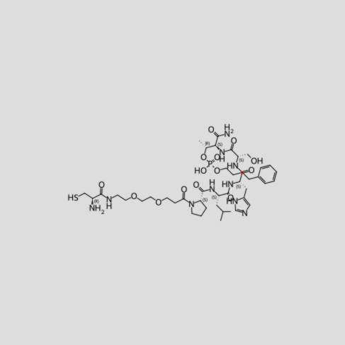 CC(C)C[C@H](NC(=O)[C@@H]1CCCN1C(=O)CCOCCOCCNC(=O)[C@@H](N)CS)C(=O)N[C@@H](Cc1cnc[nH]1)C(=O)N[C@@H](CO)C(=O)N[C@H](C(N)=O)[C@@H](C)OP(=O)(O)OCCCCc1ccccc1